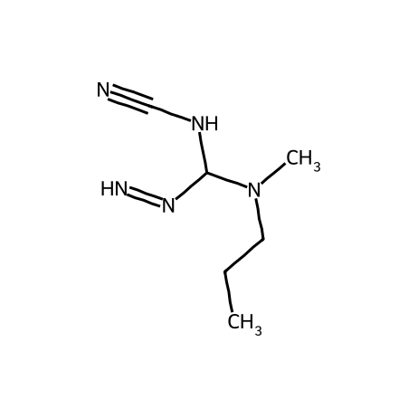 CCCN(C)C(N=N)NC#N